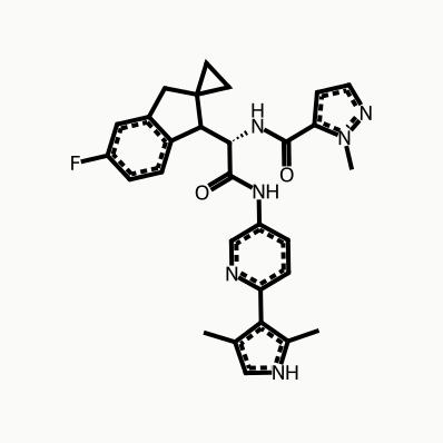 Cc1c[nH]c(C)c1-c1ccc(NC(=O)[C@@H](NC(=O)c2ccnn2C)C2c3ccc(F)cc3CC23CC3)cn1